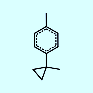 Cc1ccc(C2(C)CC2)cc1